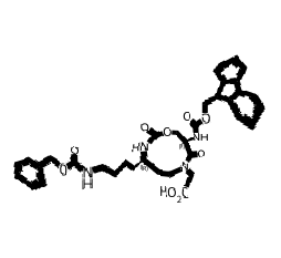 O=C(O)CN1CC[C@@H](CCCCNC(=O)OCc2ccccc2)NC(=O)OC[C@@H](NC(=O)OCC2c3ccccc3-c3ccccc32)C1=O